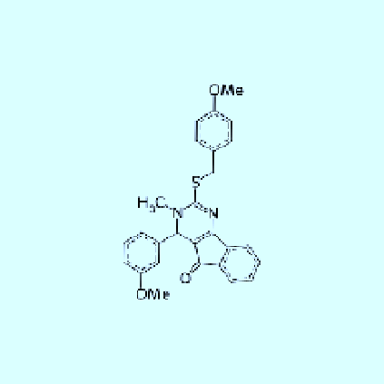 COc1ccc(CSC2=NC3=C(C(=O)c4ccccc43)C(c3cccc(OC)c3)N2C)cc1